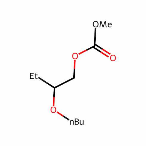 CCCCOC(CC)COC(=O)OC